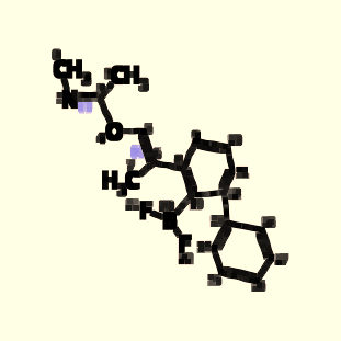 C/N=C(\C)O/C=C(\C)c1cccc(-c2ccccc2)c1B(F)F